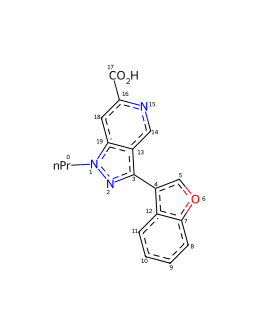 CCCn1nc(-c2coc3ccccc23)c2cnc(C(=O)O)cc21